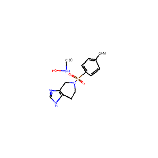 COc1ccc(S(=O)(=O)N2CCc3[nH]cnc3C2)cc1.O=CNO